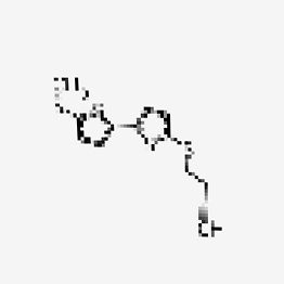 C#CCCSc1ccc(-c2ccc(SC)s2)s1